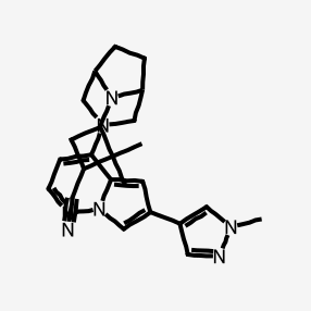 Cn1cc(-c2cc3c(N4CC5CCC(C4)N5C4CC(C#N)C4(C)C)ccnn3c2)cn1